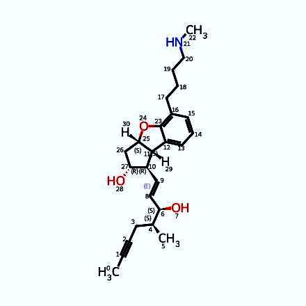 CC#CC[C@H](C)[C@H](O)/C=C/[C@@H]1[C@H]2c3cccc(CCCCNC)c3O[C@H]2C[C@H]1O